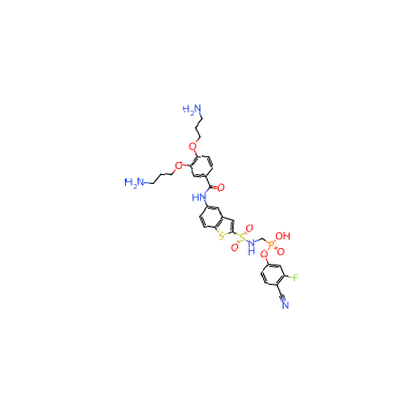 N#Cc1ccc(OP(=O)(O)CNS(=O)(=O)c2cc3cc(NC(=O)c4ccc(OCCCN)c(OCCCN)c4)ccc3s2)cc1F